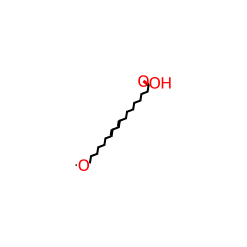 [O]CCCCCCC=CC=CCCCCCCCC(=O)O